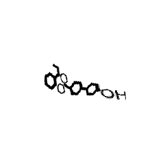 CCC(OC(=O)C1CCC(C2CCC(O)CC2)CC1)C1CCCCC1